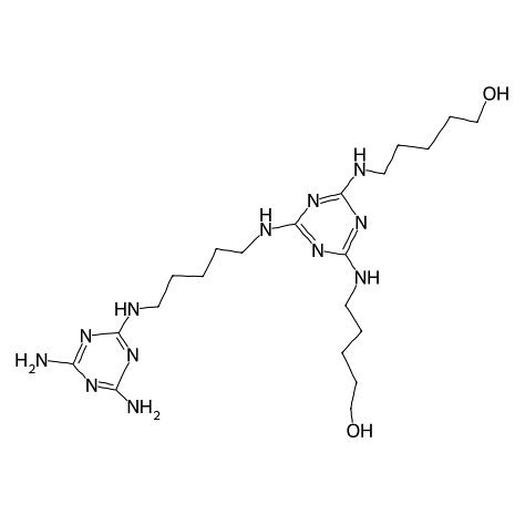 Nc1nc(N)nc(NCCCCCNc2nc(NCCCCCO)nc(NCCCCCO)n2)n1